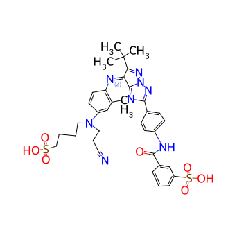 Cc1cc(N(CCC#N)CCCCS(=O)(=O)O)ccc1/N=C1/C(C(C)(C)C)=Nn2nc(-c3ccc(NC(=O)c4cccc(S(=O)(=O)O)c4)cc3)nc21